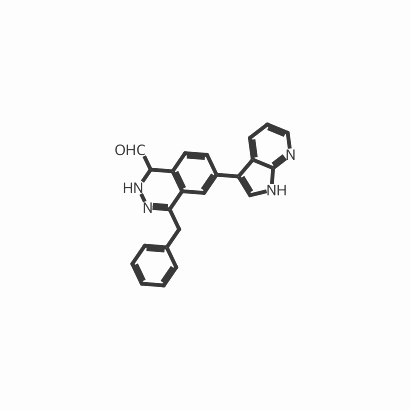 O=CC1NN=C(Cc2ccccc2)c2cc(-c3c[nH]c4ncccc34)ccc21